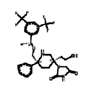 C[C@@H](OC[C@@]1(c2ccccc2)CC[C@](CCO)(N2CC(=O)NC2=O)CN1)c1cc(C(F)(F)F)cc(C(F)(F)F)c1